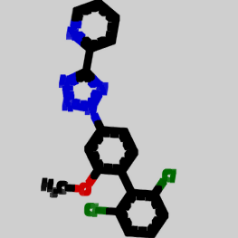 COc1cc(-n2nnc(-c3ccccn3)n2)ccc1-c1c(Cl)cccc1Cl